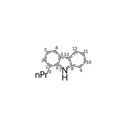 [CH2]CCc1cccc2c1[nH]c1ccccc12